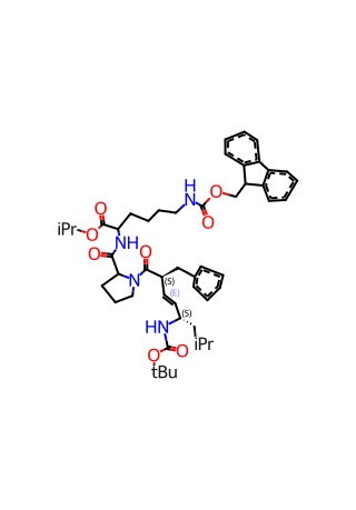 CC(C)C[C@@H](/C=C/[C@H](Cc1ccccc1)C(=O)N1CCCC1C(=O)NC(CCCCNC(=O)OCC1c2ccccc2-c2ccccc21)C(=O)OC(C)C)NC(=O)OC(C)(C)C